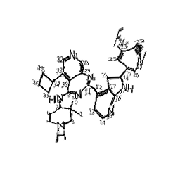 CC1(C)CNCCC1Nc1nc(-c2ccnc3[nH]c(-c4cncc(F)c4)cc23)nc2cncc(C3CCC3)c12